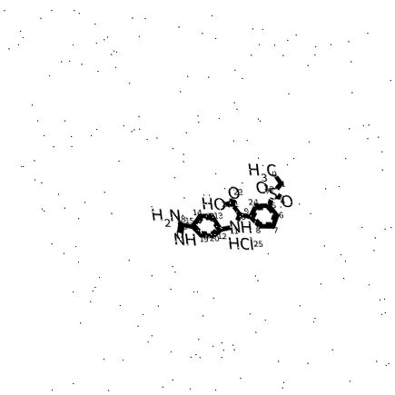 CCS(=O)(=O)c1cccc(C(Nc2ccc(C(=N)N)cc2)C(=O)O)c1.Cl